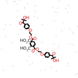 CC(C)(O)C(=O)c1ccc(OCCOC(=O)C2=CCC(C(=O)O)(C(=O)OCCOc3ccc(C(=O)C(C)(C)O)cc3)C=C2C(=O)O)cc1